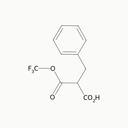 O=C(O)C(Cc1ccccc1)C(=O)OC(F)(F)F